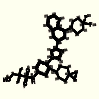 CC(C)(CO)S(=O)(=O)Nc1ccc(-n2cc(-c3cc(N4CCC(F)(F)CC4)c4ncccc4c3)nn2)c(N2CCC3(CC2)CC3)c1